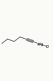 CCCCC#[C][Mg][Cl]